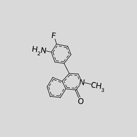 Cn1cc(-c2ccc(F)c(N)c2)c2ccccc2c1=O